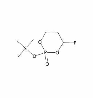 C[Si](C)(C)OP1(=O)OCCC(F)O1